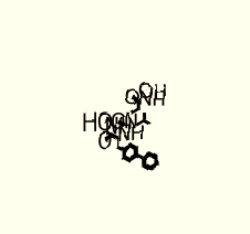 CC(C)CN(CCC(=O)NO)C(=O)N[C@@H](Cc1ccc(-c2ccccc2)cc1)C(=O)NO